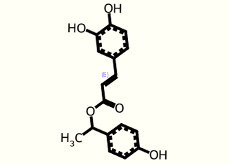 CC(OC(=O)/C=C/c1ccc(O)c(O)c1)c1ccc(O)cc1